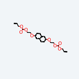 C=CCOC(=O)OCCOc1ccc2cc(OCCOC(=O)OCC=C)ccc2c1